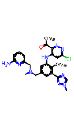 COC(=O)c1nnc(Cl)cc1Nc1cc(CN(C)Cc2cccc(N)n2)cc(-c2ncn(C)n2)c1OC